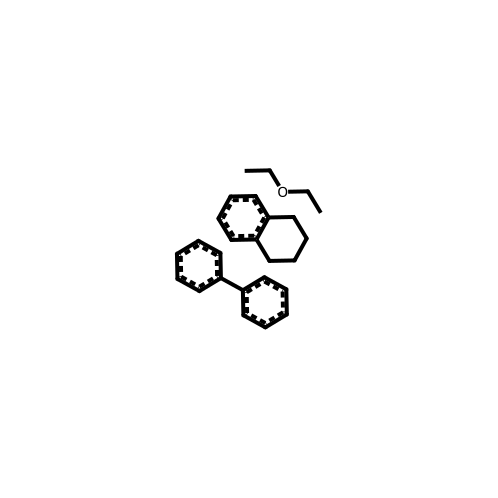 CCOCC.c1ccc(-c2ccccc2)cc1.c1ccc2c(c1)CCCC2